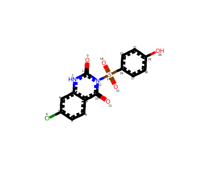 O=c1[nH]c2cc(Cl)ccc2c(=O)n1S(=O)(=O)c1ccc(O)cc1